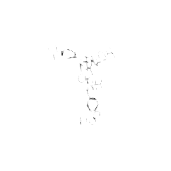 O=C(Cc1nc(-c2ccc(Cl)c(F)c2)nn1CO)NCc1ccc(OO)cc1